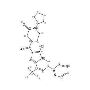 O=C(c1nc2c(C(F)(F)F)cc(-c3cccnc3)cn2c1Cl)N1CCN(C2CCCC2)C(=O)C1